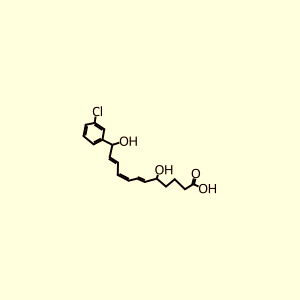 O=C(O)CCCC(O)/C=C/C=C\C=C\C(O)c1cccc(Cl)c1